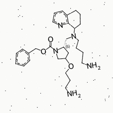 NCCCCN(C[C@@H]1CC(OCCCN)CN1C(=O)OCc1ccccc1)C1CCCc2cccnc21